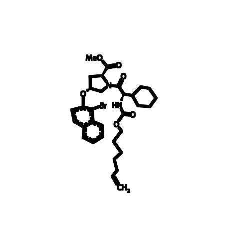 C=CCCCCCOC(=O)N[C@H](C(=O)N1C[C@H](Oc2ccc3ccccc3c2Br)C[C@H]1C(=O)OC)C1CCCCC1